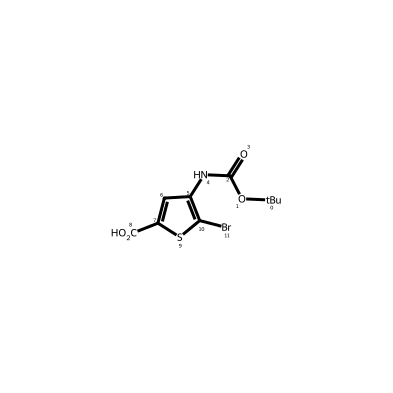 CC(C)(C)OC(=O)Nc1cc(C(=O)O)sc1Br